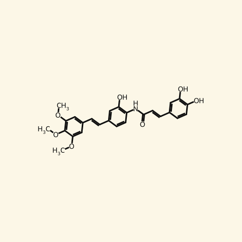 COc1cc(/C=C/c2ccc(NC(=O)/C=C/c3ccc(O)c(O)c3)c(O)c2)cc(OC)c1OC